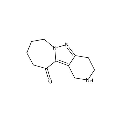 O=C1CCCCn2nc3c(c21)CNCC3